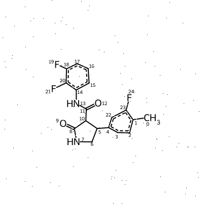 Cc1ccc(C2CNC(=O)C2C(=O)Nc2cccc(F)c2F)cc1F